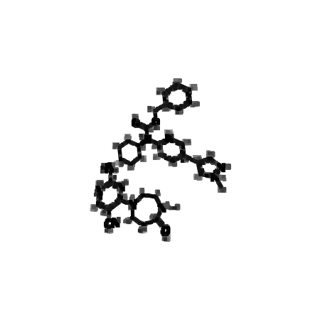 CN1CCN(c2nc(N[C@H]3CC[C@H](N(C(=O)OCc4ccccc4)c4ccc(-c5cnn(C)c5)cn4)CC3)ncc2C#N)CCC1=O